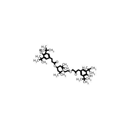 CC(C)(C)c1cc(CCC(=O)OC2CC(C)(C)N(CCOCC(=O)Cc3cc(C(C)(C)C)c(O)c(C(C)(C)C)c3)C(C)(C)C2)cc(C(C)(C)C)c1O